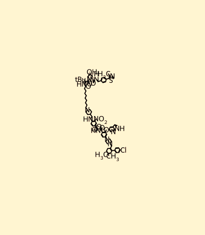 Cc1ncsc1-c1ccc(CNC(=O)[C@@H]2C[C@@H](O)CN2C(=O)[C@@H](NC(=O)CCCCCCCCCN2CCC(CNc3ccc(S(=O)(=O)NC(=O)c4ccc(N5CCN(CC6=C(c7ccc(Cl)cc7)CC(C)(C)CC6)CC5)cc4Oc4cnc5[nH]ccc5c4)cc3[N+](=O)[O-])CC2)C(C)(C)C)cc1